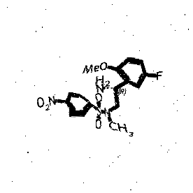 COc1ccc(F)cc1[C@@H](N)CN(C)S(=O)(=O)c1ccc([N+](=O)[O-])cc1